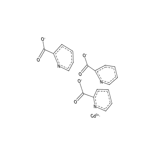 O=C([O-])c1ccccn1.O=C([O-])c1ccccn1.O=C([O-])c1ccccn1.[Gd+3]